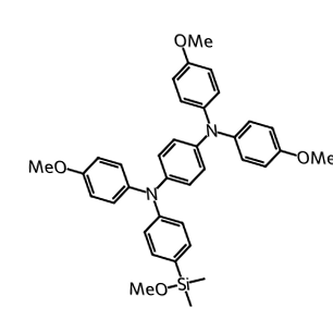 COc1ccc(N(c2ccc(OC)cc2)c2ccc(N(c3ccc(OC)cc3)c3ccc([Si](C)(C)OC)cc3)cc2)cc1